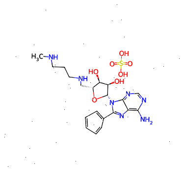 CNCCCNC[C@H]1O[C@@H](n2c(-c3ccccc3)nc3c(N)ncnc32)[C@H](O)[C@@H]1O.O=S(=O)(O)O